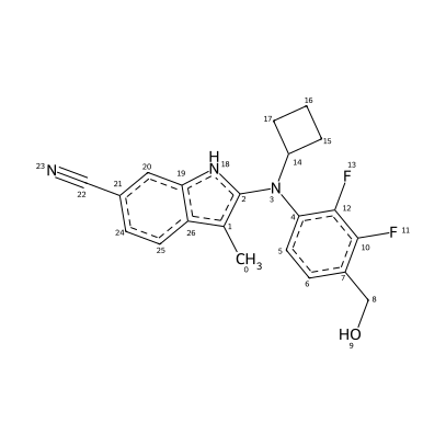 Cc1c(N(c2ccc(CO)c(F)c2F)C2CCC2)[nH]c2cc(C#N)ccc12